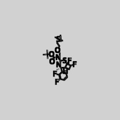 CC(C)(C)OC(=O)N(COCC[Si](C)(C)C)C1=N[C@](C)(c2cccc(F)c2F)[C@@H]2C[C@H](F)C2(F)S1